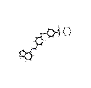 O=S(=O)(c1ccc(Nc2ncc(/C=C/c3ccnc4[nH]ccc34)cn2)cc1)C1CCCCC1